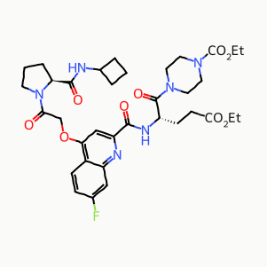 CCOC(=O)CC[C@H](NC(=O)c1cc(OCC(=O)N2CCC[C@H]2C(=O)NC2CCC2)c2ccc(F)cc2n1)C(=O)N1CCN(C(=O)OCC)CC1